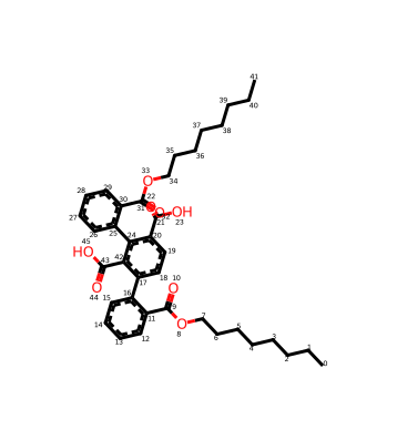 CCCCCCCCOC(=O)c1ccccc1-c1ccc(C(=O)O)c(-c2ccccc2C(=O)OCCCCCCCC)c1C(=O)O